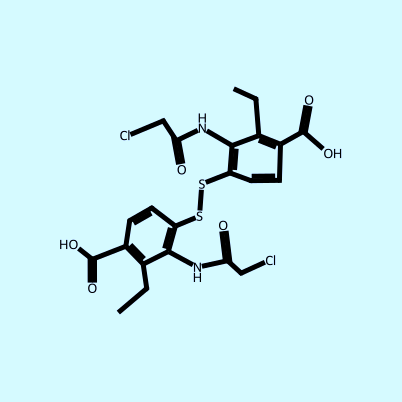 CCc1c(C(=O)O)ccc(SSc2ccc(C(=O)O)c(CC)c2NC(=O)CCl)c1NC(=O)CCl